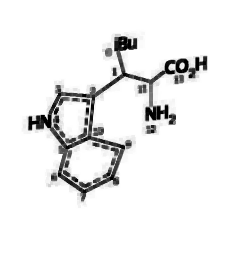 CCC(C)C(c1c[nH]c2ccccc12)C(N)C(=O)O